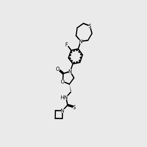 O=C1O[C@@H](CNC(=S)N2CCC2)CN1c1ccc(N2CCCSCC2)c(F)c1